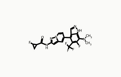 CN(C)c1c(F)c(C(F)(F)F)c(-c2ccn3nc(NC(=O)C4CC4F)cc3c2)c2cn[nH]c12